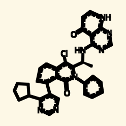 C[C@H](Nc1ncnc2[nH]ccc(=O)c12)c1c(Cl)c2cccc(-c3cncnc3C3CCCC3)c2c(=O)n1-c1ccccc1